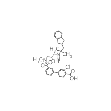 CN(CC(O)CNC(C)(C)CC1Cc2ccccc2C1)S(=O)(=O)c1cccc(-c2ccc(C(=O)O)c(Cl)c2)c1